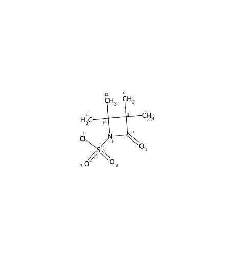 CC1(C)C(=O)N(S(=O)(=O)Cl)C1(C)C